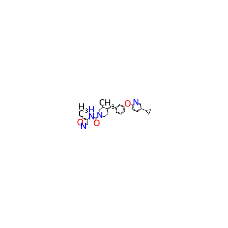 Cc1oncc1NC(=O)N1CC/C(=C\c2cccc(Oc3ccc(C4CC4)cn3)c2)C(C)C1